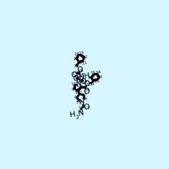 NCC(=O)N1CCC(c2ccn(S(=O)(=O)NC(=O)OCc3ccccc3)c2C(=O)OCc2ccccc2)CC1